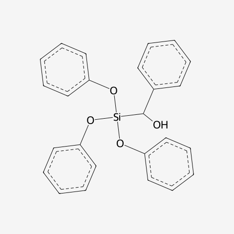 OC(c1ccccc1)[Si](Oc1ccccc1)(Oc1ccccc1)Oc1ccccc1